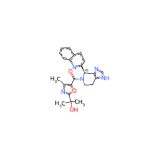 Cc1nc(C(C)(C)O)oc1C(=O)N1CCc2[nH]cnc2[C@@H]1c1ccc2ccccc2n1